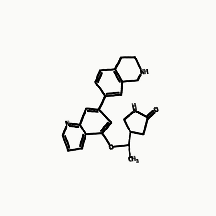 CC(Oc1cc(-c2ccc3c(c2)CNCC3)cc2ncccc12)C1CNC(=O)C1